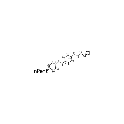 CCCCCc1ccc(CCC2CCC(CCCCCl)CC2)cc1